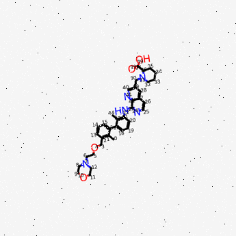 Cc1c(COCCN2CCOCC2)cccc1-c1cccc(Nc2nccc3cc(CN4CCCCC4C(=O)O)cnc23)c1C